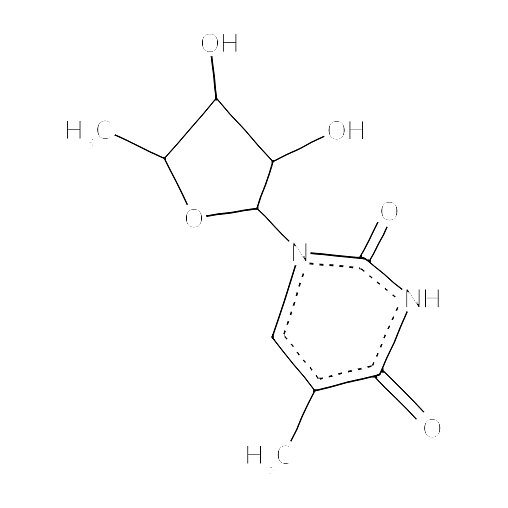 Cc1cn(C2OC(C)C(O)C2O)c(=O)[nH]c1=O